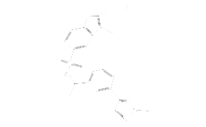 Cc1c(C(=O)O)oc2ccc(S(=O)(=O)NC(C)c3cccc(-c4cnn(C)c4)c3)cc12